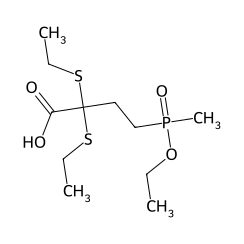 CCOP(C)(=O)CCC(SCC)(SCC)C(=O)O